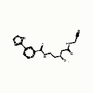 CC(CCNC(=O)c1cccc(-c2ncc[nH]2)c1)CC(=O)NCC#N